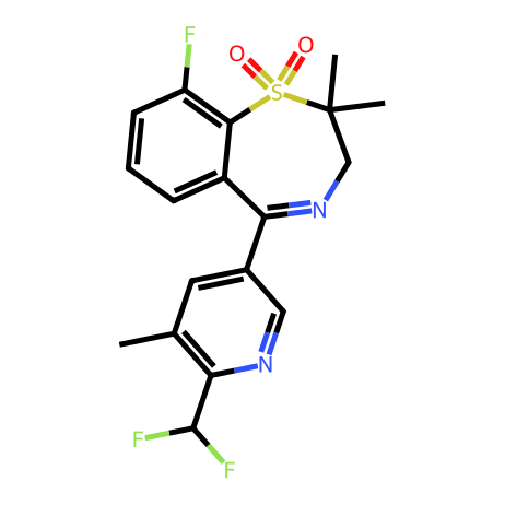 Cc1cc(C2=NCC(C)(C)S(=O)(=O)c3c(F)cccc32)cnc1C(F)F